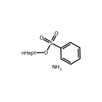 CCCCCCCOS(=O)(=O)c1ccccc1.N